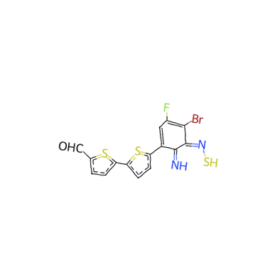 N=C1C(c2ccc(-c3ccc(C=O)s3)s2)=CC(F)=C(Br)/C1=N/S